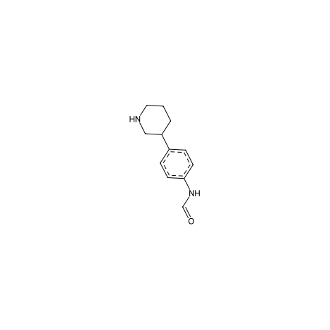 O=CNc1ccc(C2CCCNC2)cc1